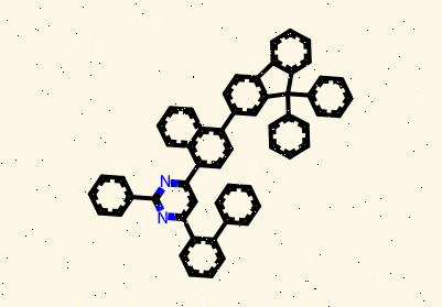 c1ccc(-c2nc(-c3ccccc3-c3ccccc3)cc(-c3ccc(-c4ccc5c(c4)C(c4ccccc4)(c4ccccc4)c4ccccc4-5)c4ccccc34)n2)cc1